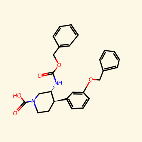 O=C(N[C@H]1CN(C(=O)O)CC[C@@H]1c1cccc(OCc2ccccc2)c1)OCc1ccccc1